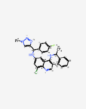 CC(C)n1cc(C(Nc2cc(Cl)c3ncc(C#N)c(NC(c4ccccc4)C(F)(F)F)c3c2)c2ccc(F)cc2)nn1